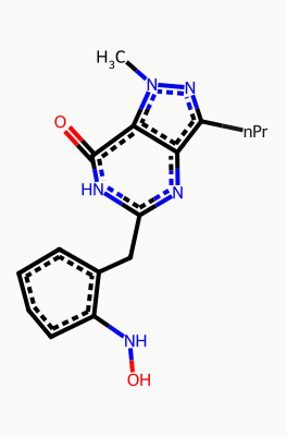 CCCc1nn(C)c2c(=O)[nH]c(Cc3ccccc3NO)nc12